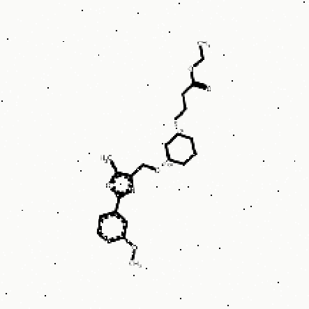 CCOC(=O)CCC[C@@H]1CCC[C@H](OCc2nc(-c3cccc(OC)c3)oc2C)C1